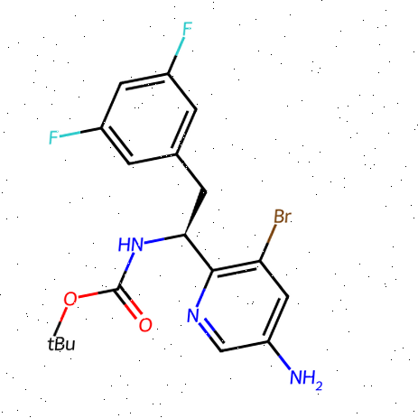 CC(C)(C)OC(=O)N[C@@H](Cc1cc(F)cc(F)c1)c1ncc(N)cc1Br